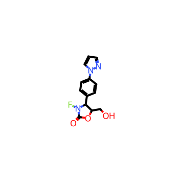 O=C1OC(CO)C(c2ccc(-n3cccn3)cc2)N1F